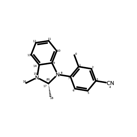 Cc1cc(C#N)ccc1N1c2ccccc2N(C)[C@H]1C